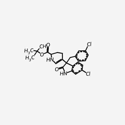 CC(C)(C)OC(=O)C1CCC(C2(Cc3cccc(Cl)c3)C(=O)Nc3cc(Cl)ccc32)=CN1